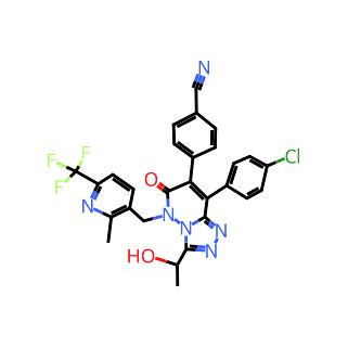 Cc1nc(C(F)(F)F)ccc1Cn1c(=O)c(-c2ccc(C#N)cc2)c(-c2ccc(Cl)cc2)c2nnc(C(C)O)n21